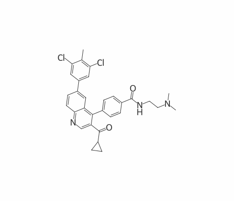 Cc1c(Cl)cc(-c2ccc3ncc(C(=O)C4CC4)c(-c4ccc(C(=O)NCCN(C)C)cc4)c3c2)cc1Cl